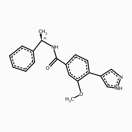 COc1cc(C(=O)N[C@H](C)c2ccccc2)ccc1-c1cn[nH]c1